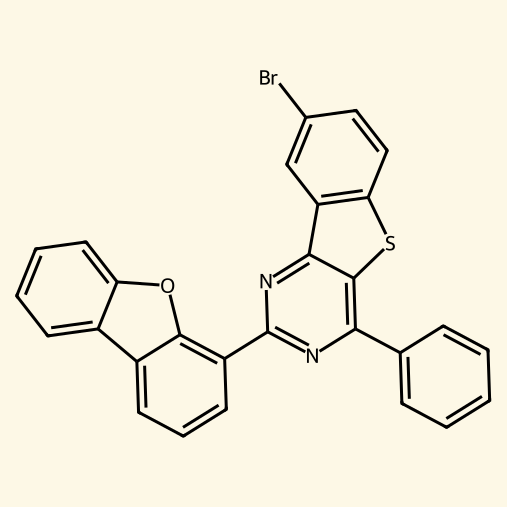 Brc1ccc2sc3c(-c4ccccc4)nc(-c4cccc5c4oc4ccccc45)nc3c2c1